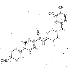 N#Cc1ccc(O[C@H]2CC[C@H](NC(=O)c3cnc(N4CCC(C=O)CC4)nn3)CC2)cc1Cl